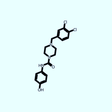 O=C(Nc1ccc(O)cc1)N1CCN(Cc2ccc(Cl)c(Cl)c2)CC1